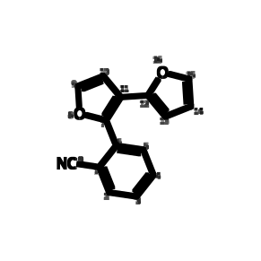 N#Cc1ccccc1-c1occc1-c1ccco1